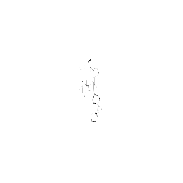 C#C[S+]([O-])N1CCCC(N2N=C(c3ccc(Oc4ccccc4)cc3)C3C2=NC=NC3N)C1